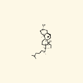 C=C[C@@]12CC=C3C[C@@H](O)CC[C@]3(C)C1CC[C@]1(C)[C@@H]([C@H](C)CCCC(C)C)CC[C@H]12